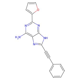 Nc1nc(-c2ccco2)nc2[nH]c(C#Cc3ccccc3)nc12